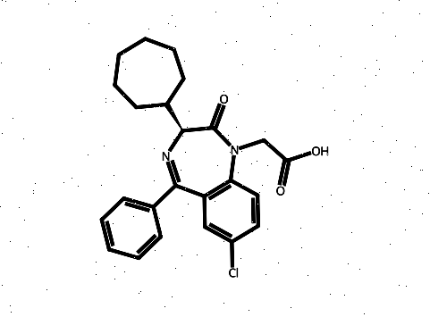 O=C(O)CN1C(=O)[C@H](C2CCCCCC2)N=C(c2ccccc2)c2cc(Cl)ccc21